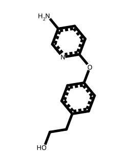 Nc1ccc(Oc2ccc(CCO)cc2)nc1